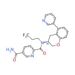 NC(=O)c1ccc(C(=O)N(CCC(F)(F)F)[C@@H]2COc3cccc(-c4cccnc4)c3C2)nc1